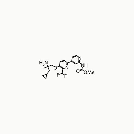 COC(=O)Nc1cc(-c2ccc(OCC(C)(N)CC3CC3)c(C(F)F)n2)ccn1